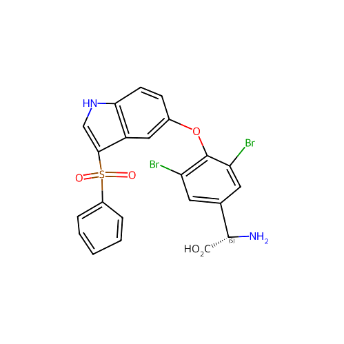 N[C@H](C(=O)O)c1cc(Br)c(Oc2ccc3[nH]cc(S(=O)(=O)c4ccccc4)c3c2)c(Br)c1